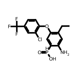 CCc1cc(N)c([PH](=O)O)cc1Oc1ccc(C(F)(F)F)cc1Cl